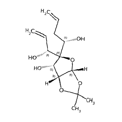 C=CC[C@H](O)[C@]1([C@H](O)C=C)O[C@@H]2OC(C)(C)O[C@@H]2[C@@H]1O